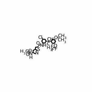 CC(C)Oc1cc(OC(F)(F)F)cc(C(C)(C)c2cc(Cl)cc(NC(=O)c3cc4cc(NS(C)(=O)=O)cnc4s3)c2)c1